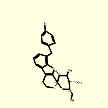 CCc1ccc(Cc2cccc3c4c(sc23)[C@]2(OCC4)S[C@H](CO)[C@@H](O)C(O)[C@H]2O)cc1